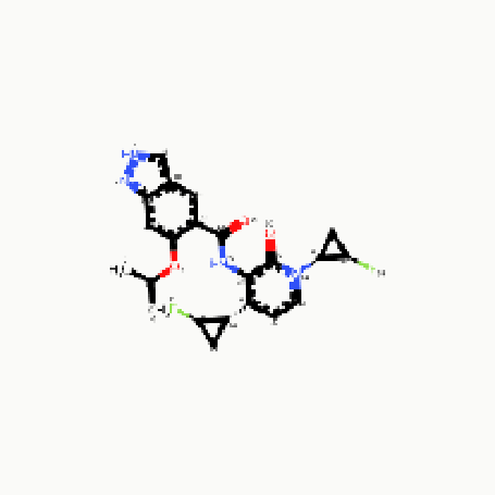 CC(C)Oc1cc2n[nH]cc2cc1C(=O)Nc1c([C@@H]2C[C@H]2F)ccn([C@H]2C[C@H]2F)c1=O